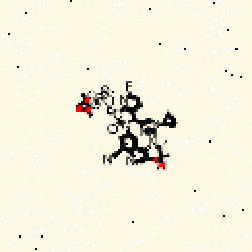 Cc1nc(F)ccc1[C@@H](c1cn(C23CC(C2)C3)nn1)N(C(=O)OCOP(=O)(OC(C)(C)C)OC(C)(C)C)c1cc(C#N)c2ncc(C#N)c(N[C@H](C)C(C)(C)C)c2c1